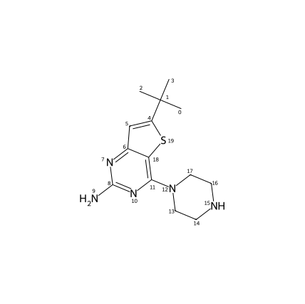 CC(C)(C)c1cc2nc(N)nc(N3CCNCC3)c2s1